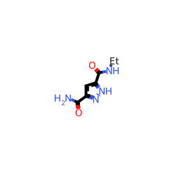 CCNC(=O)c1cc(C(N)=O)n[nH]1